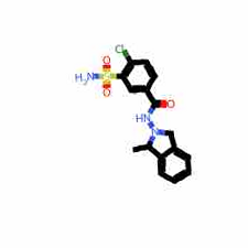 CC1c2ccccc2CN1NC(=O)c1ccc(Cl)c(S(N)(=O)=O)c1